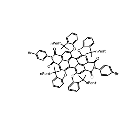 CCCCCC(C)(C)c1ccccc1Oc1cc2c3c(cc(Oc4ccccc4C(C)(C)CCCCC)c4c5c(Oc6ccccc6C(C)(C)CCCCC)cc6c7c(cc(Oc8ccccc8C(C)(C)CCCCC)c(c1c34)c75)C(=O)N(c1ccc(Br)cc1)C6=O)C(=O)N(c1ccc(Br)cc1)C2=O